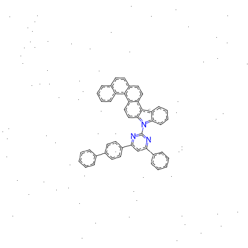 c1ccc(-c2ccc(-c3cc(-c4ccccc4)nc(-n4c5ccccc5c5c6ccc7ccc8ccccc8c7c6ccc54)n3)cc2)cc1